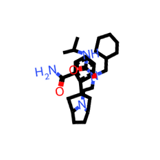 CC(C)NC(=O)N(CCN1C2CCC1CC(c1ccccc1C(N)=O)C2)CC1CCCCC1